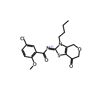 CCCCn1c2c(s/c1=N\C(=O)c1cc(Cl)ccc1OC)C(=O)COC2